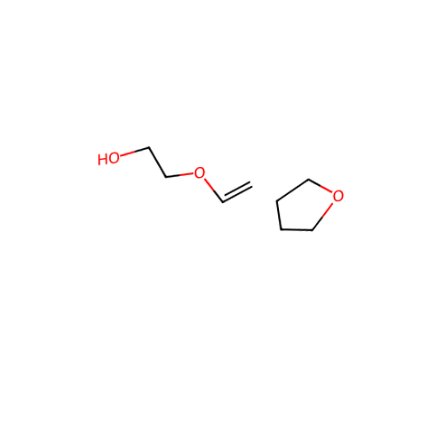 C1CCOC1.C=COCCO